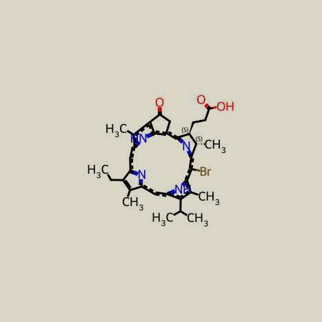 CCC1=C(C)c2cc3[nH]c(c(C)c3C(C)C)c(Br)c3nc(c4c5[nH]c(cc1n2)c(C)c5C(=O)C4)[C@@H](CCC(=O)O)[C@@H]3C